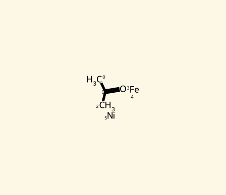 CC(C)=O.[Fe].[Ni]